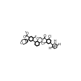 COC(=O)c1cc(F)c(-c2cccc3c2OCN(C(=O)c2c(Cl)cc(N4C[C@H]5CC[C@@H]4CN5)cc2Cl)C3)cc1N1C2CCC1COC2